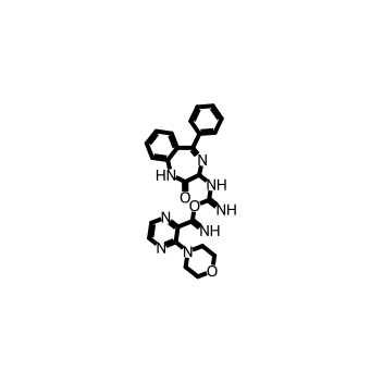 N=C(NC1N=C(c2ccccc2)c2ccccc2NC1=O)OC(=N)c1nccnc1N1CCOCC1